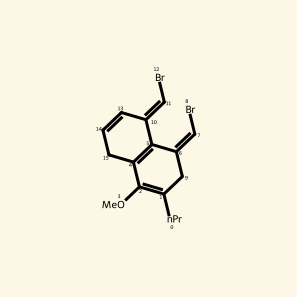 CCCC1=C(OC)C2=C(/C(=C\Br)C1)/C(=C/Br)C=CC2